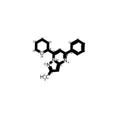 Cc1cc2nc(-c3ccccc3)cc(C3CCCCO3)n2n1